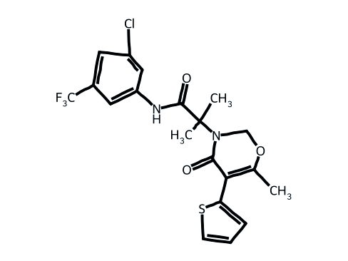 CC1=C(c2cccs2)C(=O)N(C(C)(C)C(=O)Nc2cc(Cl)cc(C(F)(F)F)c2)CO1